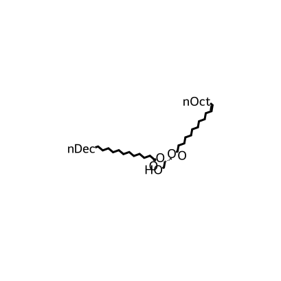 CCCCCCCC/C=C\CCCCCCCCCC(=O)OC[C@H](CO)OC(=O)CCCCCCCCCCCCCCCCCCCCC